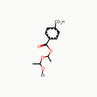 CCOC(C)OC(C)OC(=O)c1ccc(C(=O)O)cc1